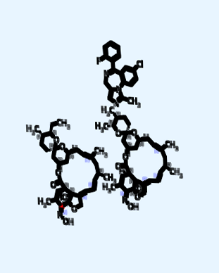 CC1=C[C@H]2C(=O)O[C@H]3C[C@@H](C/C=C(\C)C[C@@H](C)/C=C/C=C4\CO[C@H](/C1=N\O)[C@@]42O)O[C@@]1(CC[C@H](C)[C@@H](C)O1)C3.CC[C@H]1O[C@]2(CC[C@@H]1C)C[C@@H]1C[C@@H](C/C=C(\C)C[C@@H](C)/C=C/C=C3\CO[C@@H]4/C(=N\O)C(C)=C[C@@H](C(=O)O1)[C@]34O)O2.Cc1ncc2n1-c1ccc(Cl)cc1C(c1ccccc1F)=NC2